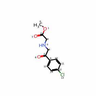 COC(=O)CNCC(=O)c1ccc(Cl)cc1